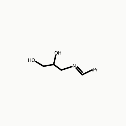 CC(C)C=NCC(O)CO